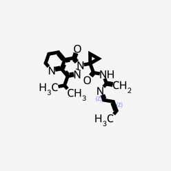 C=C(/N=C\C=C/C)NC(=O)C1(n2nc(C(C)C)c3c(c2=O)=CCCN=3)CC1